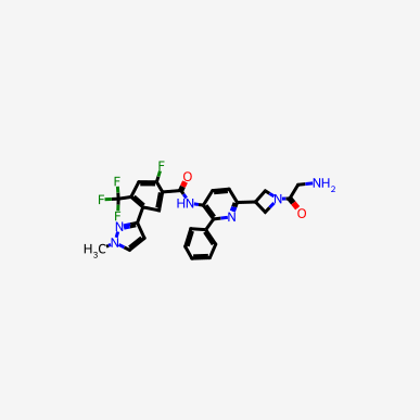 Cn1ccc(-c2cc(C(=O)Nc3ccc(C4CN(C(=O)CN)C4)nc3-c3ccccc3)c(F)cc2C(F)(F)F)n1